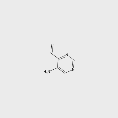 C=Cc1ncncc1N